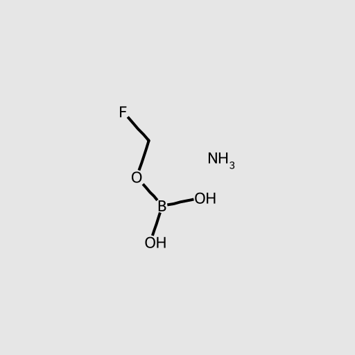 N.OB(O)OCF